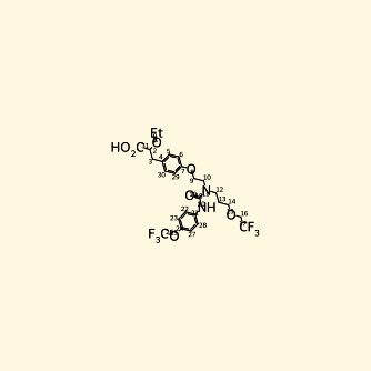 CCOC(Cc1ccc(OCCN(CCCOCC(F)(F)F)C(=O)Nc2ccc(OC(F)(F)F)cc2)cc1)C(=O)O